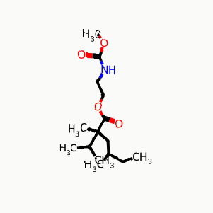 CCC(C)CC(C)(C(=O)OCCNC(=O)OC)C(C)C